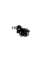 COC(=O)C1=CC(OC(C)=O)[C@@H](NC(C)=O)C([C@H](OC(C)=O)[C@@H](Cn2nnc3c2-c2ccccc2CC(O)c2ccccc2-3)OC(C)=O)O1